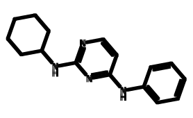 c1ccc(Nc2ccnc(NC3CCCCC3)n2)cc1